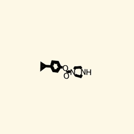 O=C(Oc1ccc(C2CC2)cc1)N1CCNCC1